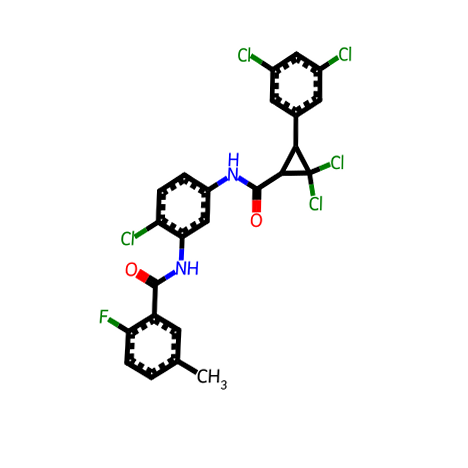 Cc1ccc(F)c(C(=O)Nc2cc(NC(=O)C3C(c4cc(Cl)cc(Cl)c4)C3(Cl)Cl)ccc2Cl)c1